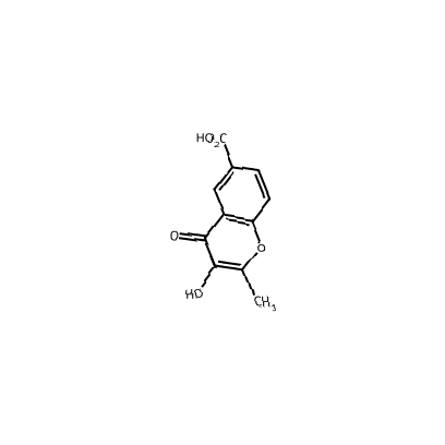 Cc1oc2ccc(C(=O)O)cc2c(=O)c1O